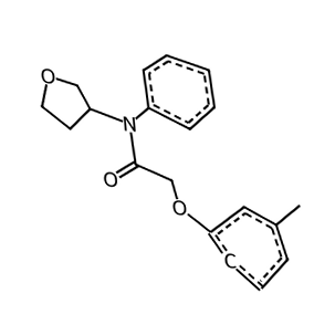 Cc1cccc(OCC(=O)N(c2ccccc2)C2CCOC2)c1